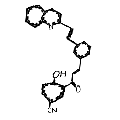 N#Cc1ccc(O)c(C(=O)C=Cc2cccc(C=Cc3ccc4ccccc4n3)c2)c1